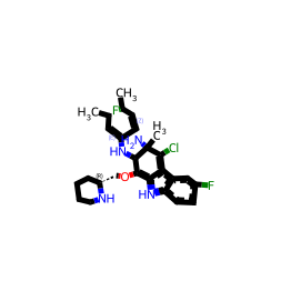 CC/C=C(\C=C/C(C)F)NC1C(OC[C@H]2CCCCN2)=c2[nH]c3ccc(F)cc3c2=C(Cl)C1(C)N